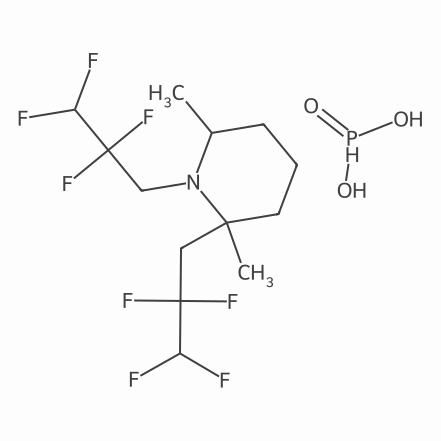 CC1CCCC(C)(CC(F)(F)C(F)F)N1CC(F)(F)C(F)F.O=[PH](O)O